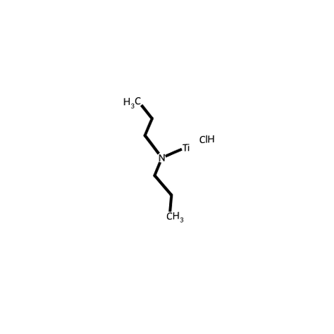 CCC[N]([Ti])CCC.Cl